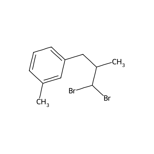 Cc1cccc(CC(C)C(Br)Br)c1